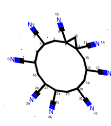 N#CC1CC(C#N)CC2(C#N)CC2(C#N)CC(C#N)CC(C#N)CC(C#N)C(C#N)C1